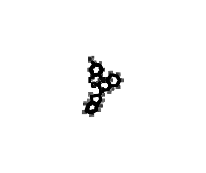 O=C(Nc1ccc(F)cc1F)N(CC1CCCCC1)C1Cc2ccccc2C1